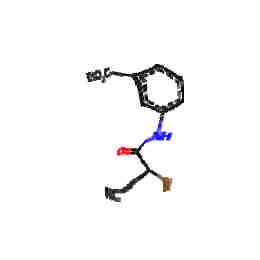 CCOC(=O)c1cccc(NC(=O)C(Br)C#N)c1